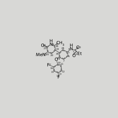 CCS(=O)(=O)Nc1ccc(Oc2ccc(F)cc2F)c(-c2cc(NC)c(=O)[nH]c2C)c1